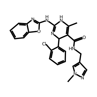 CC1=C(C(=O)NCc2cnn(C)c2)C(c2ccccc2Cl)N=C(Nc2nc3ccccc3o2)N1